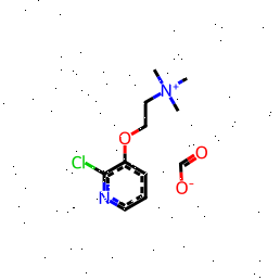 C[N+](C)(C)CCOc1cccnc1Cl.O=C[O-]